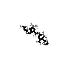 CC1(C)CC(C(=O)Nc2cc(C(F)F)c(-c3ncco3)c(=O)[nH]2)c2cnc3cc(Cl)nn3c21